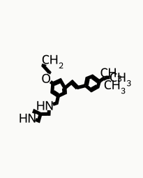 C=CCOc1cc(/C=C/c2ccc(C(C)(C)C)cc2)cc(CNCC2CNC2)c1